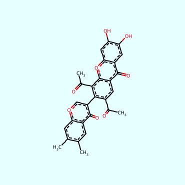 CC(=O)c1cc2c(=O)c3cc(O)c(O)cc3oc2c(C(C)=O)c1-c1coc2cc(C)c(C)cc2c1=O